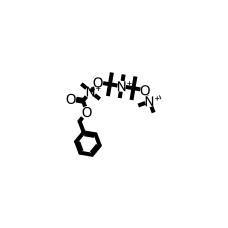 CC(C)(O[N+](C)(C)C)[N+](C)(C)C(C)(C)O[N+](C)(C)C(=O)OCc1ccccc1